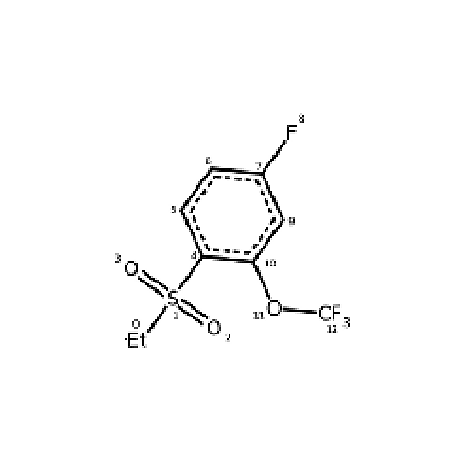 C[CH]S(=O)(=O)c1ccc(F)cc1OC(F)(F)F